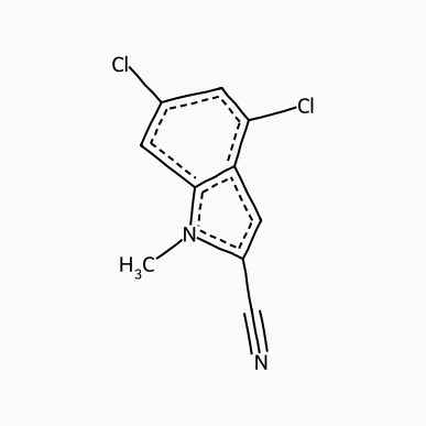 Cn1c(C#N)cc2c(Cl)cc(Cl)cc21